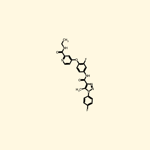 CCNC(=O)c1cc(Oc2ccc(NC(=O)c3nnn(-c4ccc(F)cc4)c3C)cc2F)ccn1